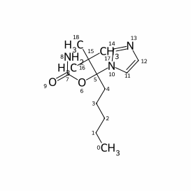 CCCCCC(OC(N)=O)(n1ccnc1)C(C)(C)C